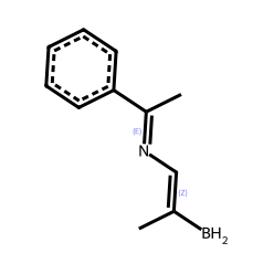 B/C(C)=C/N=C(\C)c1ccccc1